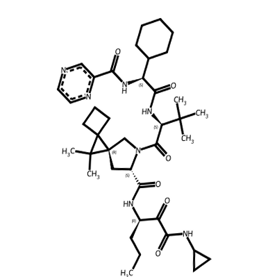 CCC[C@@H](NC(=O)[C@@H]1C[C@@]2(CN1C(=O)[C@@H](NC(=O)[C@@H](NC(=O)c1cnccn1)C1CCCCC1)C(C)(C)C)C(C)(C)C21CCC1)C(=O)C(=O)NC1CC1